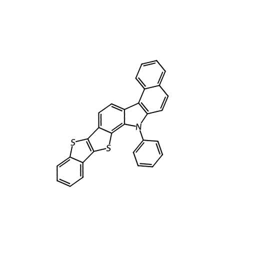 c1ccc(-n2c3ccc4ccccc4c3c3ccc4c5sc6ccccc6c5sc4c32)cc1